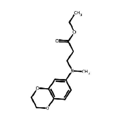 CCOC(=O)CCN(C)c1ccc2c(c1)OCCO2